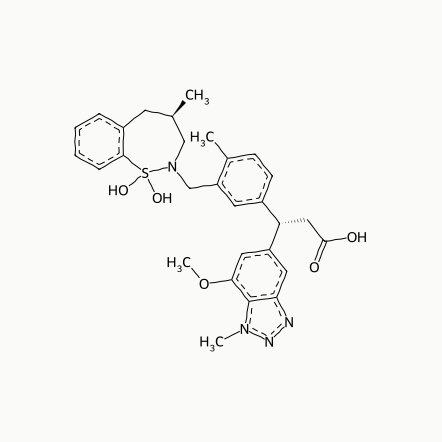 COc1cc([C@@H](CC(=O)O)c2ccc(C)c(CN3C[C@H](C)Cc4ccccc4S3(O)O)c2)cc2nnn(C)c12